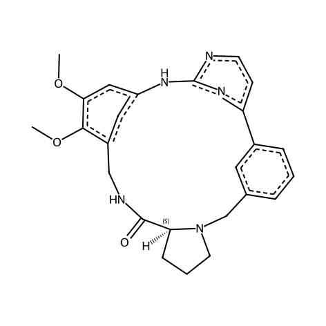 COc1cc2cc(c1OC)CNC(=O)[C@@H]1CCCN1Cc1cccc(c1)-c1ccnc(n1)N2